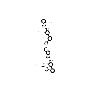 C=CC(=O)N1CCC(c2ccccc2-c2cc(OC)c3c(NS(=O)(=O)c4c(OC)ccc(/C=C\C(=O)N5CCC(c6cccc(-c7cc(OC)c8c(NS(=O)(=O)c9c(OC)cccc9OC)noc8c7)c6)C5)c4OC)noc3c2)C1